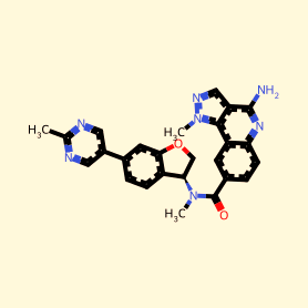 Cc1ncc(-c2ccc3c(c2)OC[C@H]3N(C)C(=O)c2ccc3nc(N)c4cnn(C)c4c3c2)cn1